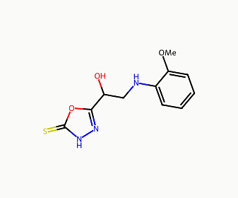 COc1ccccc1NCC(O)c1n[nH]c(=S)o1